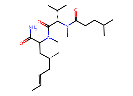 C/C=C/C[C@@H](C)CC(C(N)=O)N(C)C(=O)[C@H](C(C)C)N(C)C(=O)CCC(C)C